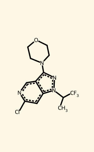 CC(n1nc(N2CCOCC2)c2cnc(Cl)cc21)C(F)(F)F